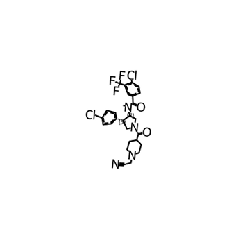 CN(C(=O)c1ccc(Cl)c(C(F)(F)F)c1)[C@H]1CN(C(=O)C2CCN(CC#N)CC2)C[C@@H]1c1ccc(Cl)cc1